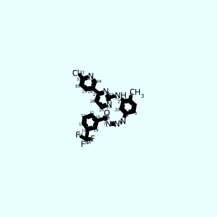 Cc1ccc(N=[N+]=NC(=O)c2cccc(C(F)(F)F)c2)cc1Nc1nccc(-c2ccc(Cl)nc2)n1